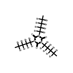 CC(Br)(Br)C(Br)(Br)C(Br)(Br)C(Br)(Br)n1c(=O)n(C(Br)(Br)C(Br)(Br)C(Br)(Br)C(C)(Br)Br)c(=O)n(C(Br)(Br)C(Br)(Br)C(Br)(Br)C(C)(Br)Br)c1=O